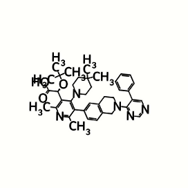 Cc1nc(C)c([C@H](OC(C)(C)C)C(=O)O)c(N2CCC(C)(C)CC2)c1-c1ccc2c(c1)CCN(c1ncncc1-c1ccccc1)C2